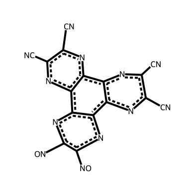 N#Cc1nc2c3nc(C#N)c(C#N)nc3c3nc(N=O)c(N=O)nc3c2nc1C#N